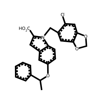 CC(Oc1ccc2c(c1)cc(C(=O)O)n2Cc1cc2c(cc1Cl)OCO2)c1ccccc1